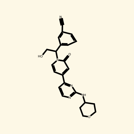 N#Cc1cccc(C(CO)n2ccc(-c3ccnc(NC4CCOCC4)n3)cc2=O)c1